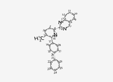 Cc1ccc(-c2ncc3ccccc3n2)nc1-c1ccc(-c2ccccc2)cc1